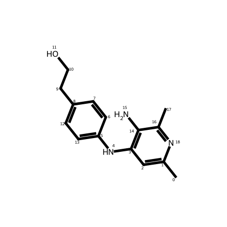 Cc1cc(Nc2ccc(CCO)cc2)c(N)c(C)n1